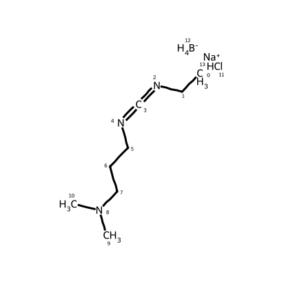 CCN=C=NCCCN(C)C.Cl.[BH4-].[Na+]